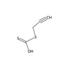 C#CCSC(O)=S